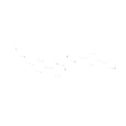 CC(C)(C)OC(=O)Nc1ccc(N(CCCl)C(=O)[C@H](O)[C@@H](O)C(=O)Nc2ccc(-c3noc(=O)[nH]3)cc2)cc1